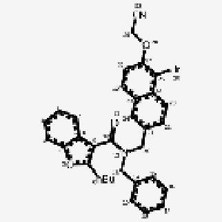 CCCCc1oc2ccccc2c1C(=O)N(Cc1ccccc1)Cc1ccc2c(Br)c(OCC#N)ccc2c1